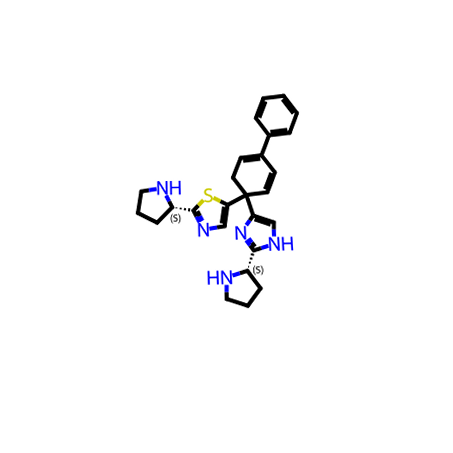 C1=CC(c2c[nH]c([C@@H]3CCCN3)n2)(c2cnc([C@@H]3CCCN3)s2)CC=C1c1ccccc1